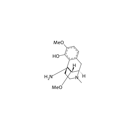 COc1ccc2c(c1O)[C@]13CCN(C)[C@H](C2)[C@@H]1CC(OC)C(N)C3